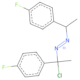 CC(/N=N/C(C)(Cl)c1ccc(F)cc1)c1ccc(F)cc1